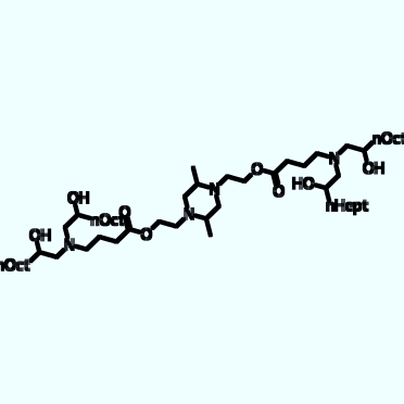 CCCCCCCCC(O)CN(CCCC(=O)OCCN1CC(C)N(CCOC(=O)CCCN(CC(O)CCCCCCCC)CC(O)CCCCCCCC)CC1C)CC(O)CCCCCCC